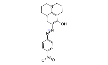 O=[N+]([O-])c1ccc(/N=N/c2cc3c4c(c2O)CCCN4CCC3)cc1